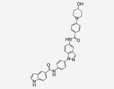 O=C(Nc1ccc2c(cnn2-c2ccc(NC(=O)c3ccc4[nH]ccc4c3)cc2)c1)c1ccc(N2CCC(O)CC2)cc1